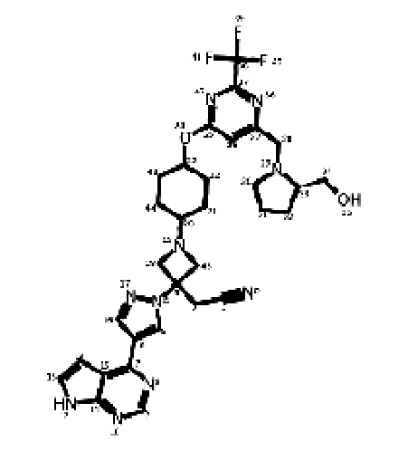 N#CCC1(n2cc(-c3ncnc4[nH]ccc34)cn2)CN(C2CCC(Oc3cc(CN4CCC[C@@H]4CO)nc(C(F)(F)F)n3)CC2)C1